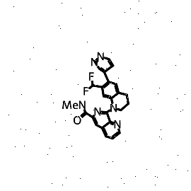 CNC(=O)c1cc2cccnc2c(N2CCCc3cc(-c4ccnnc4)c(C(F)F)cc32)n1